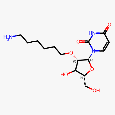 NCCCCCCO[C@H]1C(O)[C@@H](CO)O[C@H]1n1ccc(=O)[nH]c1=O